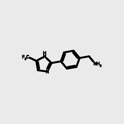 NCc1ccc(-c2ncc(C(F)(F)F)[nH]2)cc1